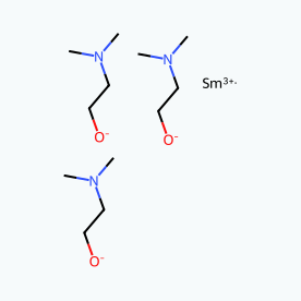 CN(C)CC[O-].CN(C)CC[O-].CN(C)CC[O-].[Sm+3]